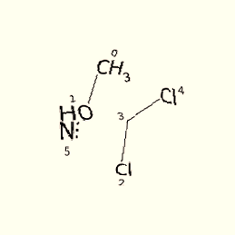 CO.ClCCl.[N]